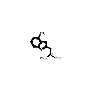 CC(=O)N[C@H](Cc1cc2c(C)cccc2s1)C(=O)O